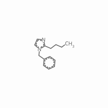 CCCCc1nccn1Cc1ccccc1